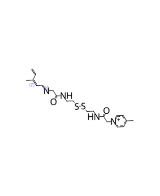 C=C/C(C)=C\C=N\CC(=O)NCCSSCCNC(=O)C[n+]1ccc(C)cc1